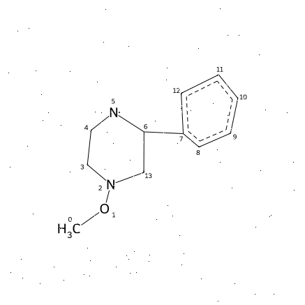 CON1CC[N]C(c2ccccc2)C1